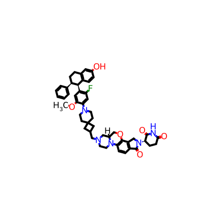 COc1cc([C@@H]2c3ccc(O)cc3CC[C@@H]2c2ccccc2)c(F)cc1N1CCC2(CC1)CC(CN1CCN3c4ccc5c(c4OC[C@H]3C1)CN([C@H]1CCC(=O)NC1=O)C5=O)C2